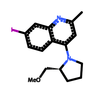 COC[C@H]1CCCN1c1cc(C)nc2cc(I)ccc12